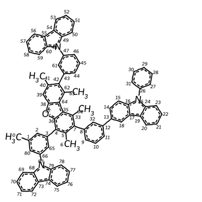 Cc1cc(-c2c(C)c(-c3cccc(-c4ccc5c(c4)c4ccccc4n5-c4ccccc4)c3)c(C)c3c2oc2cc(C)c(-c4cccc(-n5c6ccccc6c6ccccc65)c4)c(C)c23)cc(-n2c3ccccc3c3ccccc32)c1